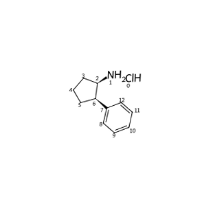 Cl.N[C@@H]1CCC[C@@H]1c1ccccc1